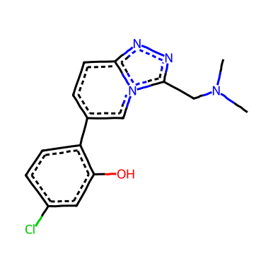 CN(C)Cc1nnc2ccc(-c3ccc(Cl)cc3O)cn12